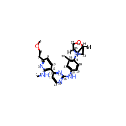 CNc1nc(CCOC)ccc1-c1ccnc(Nc2ccc(N3C[C@@H]4C[C@H]3CO4)c(C)c2)n1